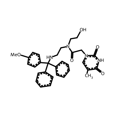 COc1ccc(C(NCCN(CCO)C(=O)Cn2cc(C)c(=O)[nH]c2=O)(c2ccccc2)c2ccccc2)cc1